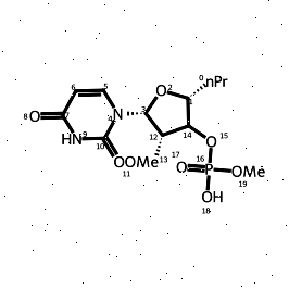 CCC[C@H]1O[C@@H](n2ccc(=O)[nH]c2=O)[C@@H](OC)C1OP(=O)(O)OC